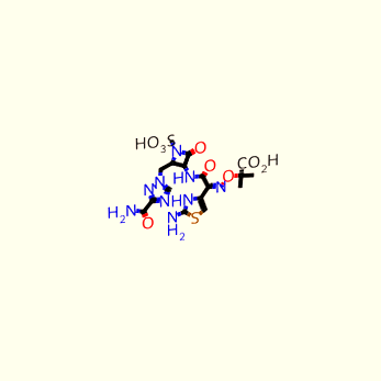 CC(C)(O/N=C(\C(=O)NC1C(=O)N(S(=O)(=O)O)C1Cn1cnc(C(N)=O)n1)C1=CSC(N)N1)C(=O)O